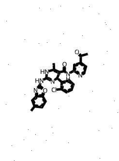 CC(=O)c1ccnc(NC(=O)C2=C(C)NC(Nc3nc4cc(C)ccc4o3)=NC2c2ccccc2Cl)c1